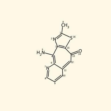 Cc1nc2c(N)c3ncccc3cc(=O)c2s1